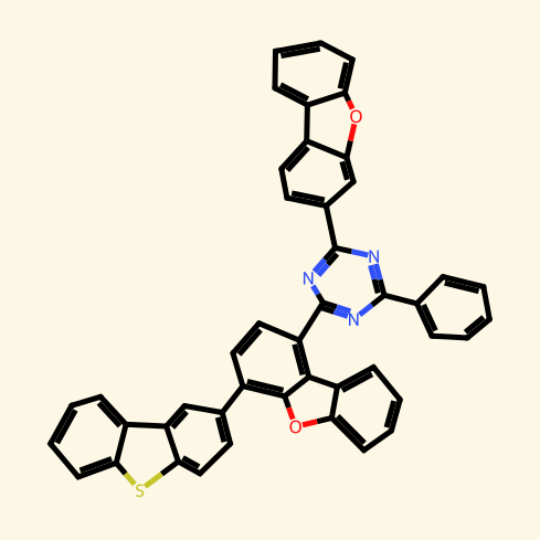 c1ccc(-c2nc(-c3ccc4c(c3)oc3ccccc34)nc(-c3ccc(-c4ccc5sc6ccccc6c5c4)c4oc5ccccc5c34)n2)cc1